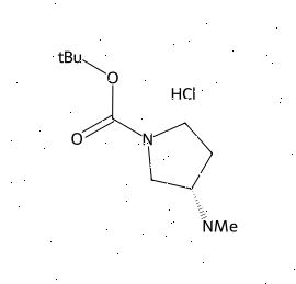 CN[C@H]1CCN(C(=O)OC(C)(C)C)C1.Cl